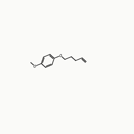 C=CCCCOc1ccc(OC)cc1